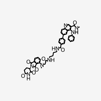 CNC(=O)c1cnc2ccc(-c3ccc(C(=O)NCCCCNC(=O)CN(C)c4cccc5c4C(=O)N(C4CCC(=O)NC4=O)C5=O)cc3)cc2c1Nc1ccccc1